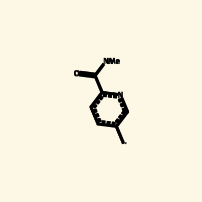 [CH2]c1ccc(C(=O)NC)nc1